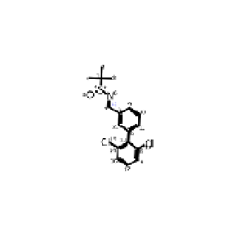 CC(C)(C)[S+]([O-])/N=C/c1cccc(-c2c(Cl)cccc2Cl)c1